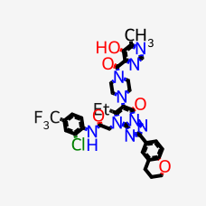 CCc1c(N2CCN(C(=O)c3ncnc(C)c3O)CC2)c(=O)n2nc(-c3ccc4c(c3)CCCO4)nc2n1CC(=O)Nc1ccc(C(F)(F)F)cc1Cl